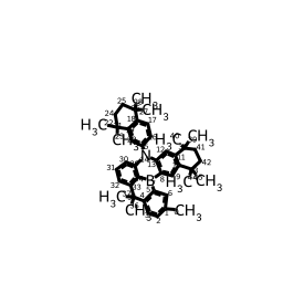 Cc1ccc2c(c1)B1c3cc4c(cc3N(c3ccc5c(c3)C(C)(C)CCC5(C)C)c3cccc(c31)C2(C)C)C(C)(C)CCC4(C)C